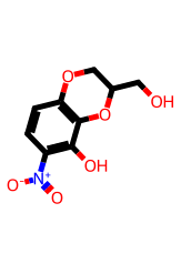 O=[N+]([O-])c1ccc2c(c1O)OC(CO)CO2